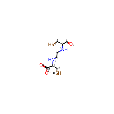 O=C[C@H](CS)NCCN[C@@H](CS)C(=O)O